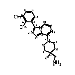 NCC1(F)CCN(c2nccn3c(-c4cccc(Cl)c4Cl)ncc23)CC1